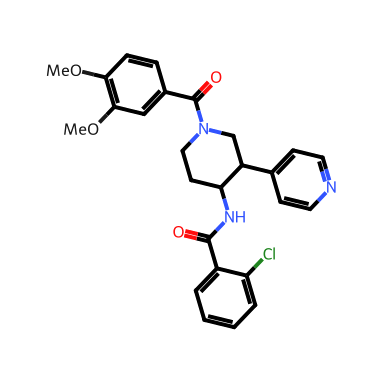 COc1ccc(C(=O)N2CCC(NC(=O)c3ccccc3Cl)C(c3ccncc3)C2)cc1OC